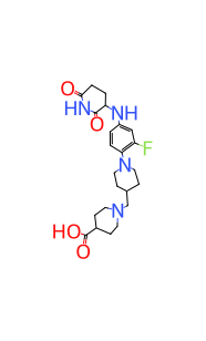 O=C1CCC(Nc2ccc(N3CCC(CN4CCC(C(=O)O)CC4)CC3)c(F)c2)C(=O)N1